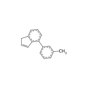 Cc1cccc(-c2cccc3c2C=CC3)c1